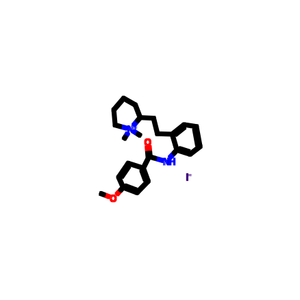 COc1ccc(C(=O)Nc2ccccc2CCC2CCCC[N+]2(C)C)cc1.[I-]